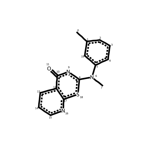 Cc1cccc(N(C)c2nc(=O)c3cccnc3s2)c1